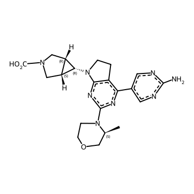 C[C@H]1COCCN1c1nc(-c2cnc(N)nc2)c2c(n1)N([C@@H]1[C@@H]3CN(C(=O)O)C[C@@H]31)CC2